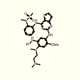 COc1cc(N(C)CCN(C)C)c(NC(C)C)cc1Nc1nc(Nc2ccccc2N(C)S(C)(=O)=O)c2sccc2n1